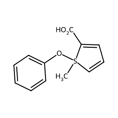 CS1(Oc2ccccc2)C=CC=C1C(=O)O